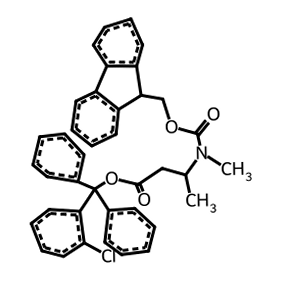 CC(CC(=O)OC(c1ccccc1)(c1ccccc1)c1ccccc1Cl)N(C)C(=O)OCC1c2ccccc2-c2ccccc21